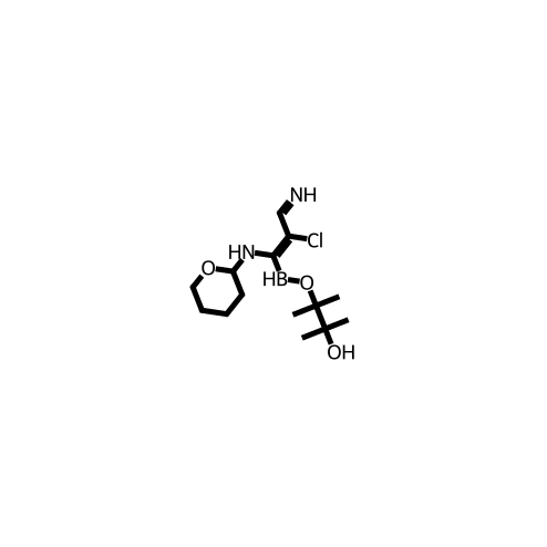 CC(C)(O)C(C)(C)OB/C(NC1CCCCO1)=C(\Cl)C=N